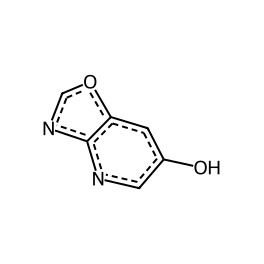 Oc1cnc2ncoc2c1